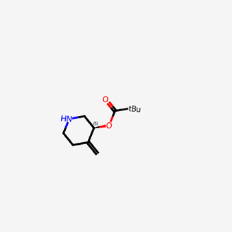 C=C1CCNC[C@H]1OC(=O)C(C)(C)C